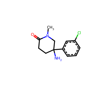 CN1CC(N)(c2cccc(Cl)c2)CCC1=O